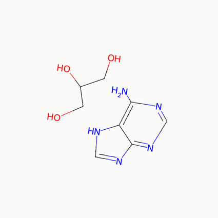 Nc1ncnc2nc[nH]c12.OCC(O)CO